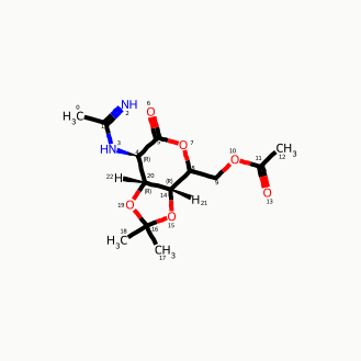 CC(=N)N[C@H]1C(=O)OC(COC(C)=O)[C@@H]2OC(C)(C)O[C@H]12